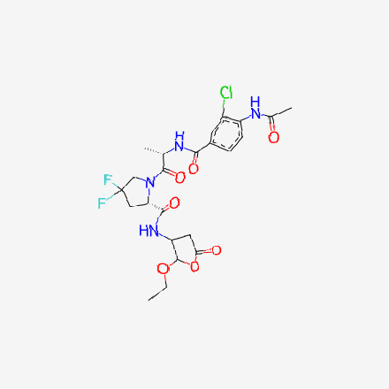 CCOC1OC(=O)CC1NC(=O)[C@@H]1CC(F)(F)CN1C(=O)[C@H](C)NC(=O)c1ccc(NC(C)=O)c(Cl)c1